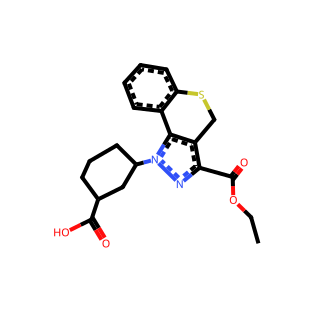 CCOC(=O)c1nn(C2CCCC(C(=O)O)C2)c2c1CSc1ccccc1-2